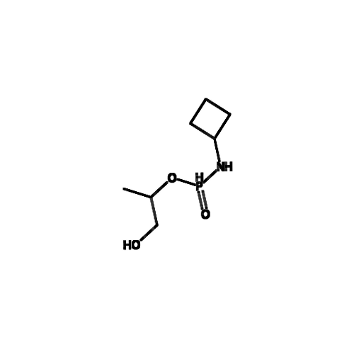 CC(CO)O[PH](=O)NC1CCC1